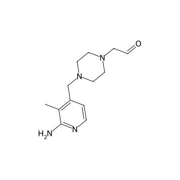 Cc1c(CN2CCN(CC=O)CC2)ccnc1N